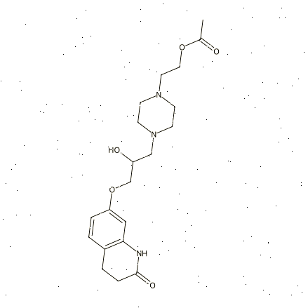 CC(=O)OCCN1CCN(CC(O)COc2ccc3c(c2)NC(=O)CC3)CC1